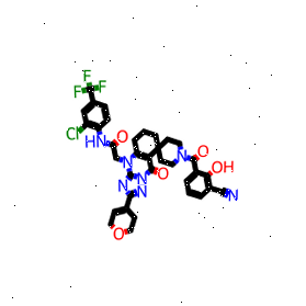 N#Cc1cccc(C(=O)N2CCC3(CCCc4c3c(=O)n3nc(C5=CCOCC5)nc3n4CC(=O)Nc3ccc(C(F)(F)F)cc3Cl)CC2)c1O